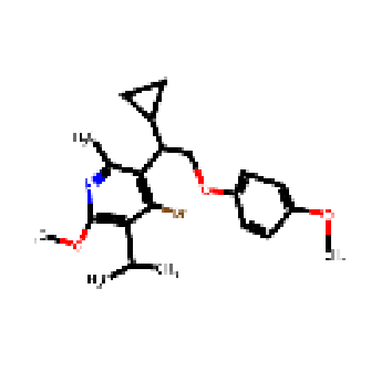 COc1ccc(OCC(c2c(C)nc(OC)c(C(C)C)c2Br)C2CC2)cc1